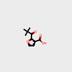 CC(C)(C)C(=O)c1occc1C(=O)O